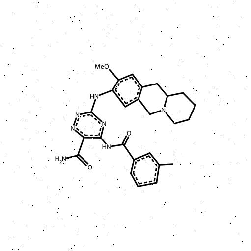 COc1cc2c(cc1Nc1nnc(C(N)=O)c(NC(=O)c3cccc(C)c3)n1)CN1CCCCC1C2